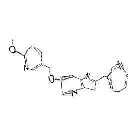 COc1ccc(COc2cnc3c(c2)N=C(c2cccnc2)C3)cn1